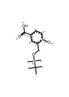 CC(C)(C)[Si](C)(C)OCc1cc(C(=O)O)cc[n+]1[O-]